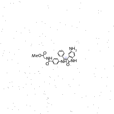 COC(=O)CNC(=O)c1ccc(N/C(=C2\C(=O)Nc3ccc(N)cc32)c2ccccc2)cc1